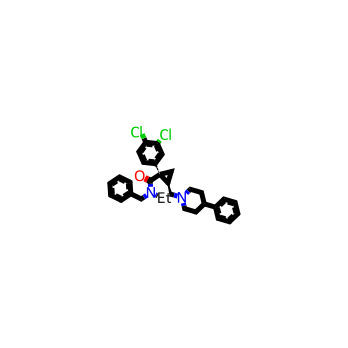 CCN(Cc1ccccc1)C(=O)[C@@]1(c2ccc(Cl)c(Cl)c2)C[C@H]1CN1CCC(c2ccccc2)CC1